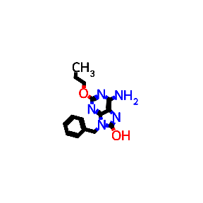 CCCOc1nc(N)c2nc(O)n(Cc3ccccc3)c2n1